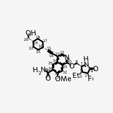 CC[C@@H]1[C@H](F)C(=O)N[C@@H]1COc1ncc(C#C[C@H]2CC[C@@H](CO)CC2)c2cc(C(N)=O)c(OC)cc12